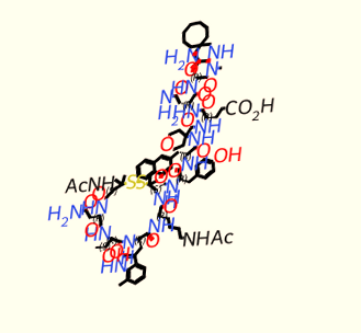 CC(=O)NCCCC[C@H]1NC(=O)[C@@H](Cc2c[nH]c3c(C)cccc23)NC(=O)[C@@H]([C@H](C)O)NC(=O)[C@@H](CC(N)=O)NC(=O)[C@H](NC(C)=O)C(C)(C)SSC(C)(C)[C@H](C(=O)N[C@H](Cc2ccc(O)cc2)C(=O)N[C@H](Cc2ccc3ccccc3c2)C(=O)NC2(C(=O)N[C@H](CCC(=O)O)C(=O)N[C@H](CC(N)=O)C(=O)N[C@H](CC3CNCC4(CCCCCCC4)C3)C(=O)N(C)CC(N)=O)CCOCC2)NC1=O